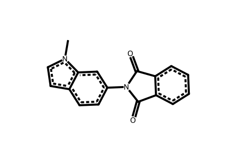 Cn1ccc2ccc(N3C(=O)c4ccccc4C3=O)cc21